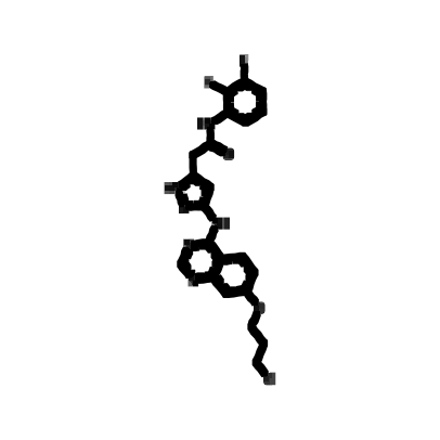 O=C(Cc1cc(Nc2ncnc3cc(OCCCCl)ccc23)n[nH]1)Nc1cccc(F)c1F